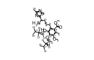 COC(=O)c1c(C)c(OC)c(O[SiH](C)C(C)(C)C(C)C)c(O[SiH](C)C(C)(C)C(C)C)c1CSCC(N)c1nc(C)no1